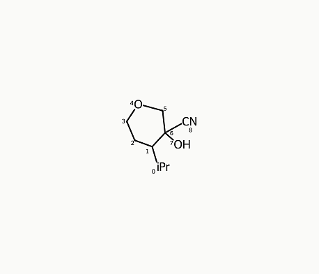 CC(C)C1CCOCC1(O)C#N